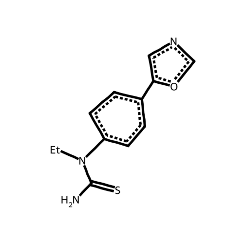 CCN(C(N)=S)c1ccc(-c2cnco2)cc1